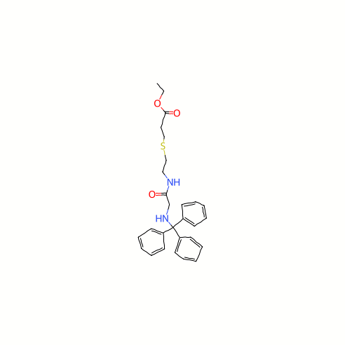 CCOC(=O)CCSCCNC(=O)CNC(c1ccccc1)(c1ccccc1)c1ccccc1